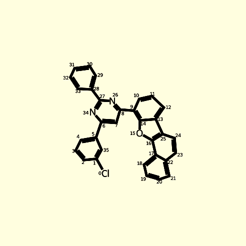 Clc1cccc(-c2cc(-c3cccc4c3oc3c5ccccc5ccc43)nc(-c3ccccc3)n2)c1